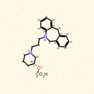 O=C(O)O[C@@H]1CCCN(CCCN2Cc3ccccc3Cc3ccccc32)C1